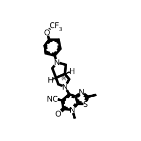 Cc1nc2c(N3C[C@H]4CN(c5ccc(OC(F)(F)F)cc5)C[C@@H]4C3)c(C#N)c(=O)n(C)c2s1